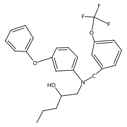 CCCC(O)CN(Cc1cccc(OC(F)(F)F)c1)c1cccc(Oc2ccccc2)c1